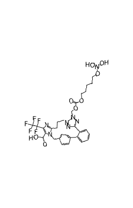 CCCc1nc(C(F)(F)C(F)(F)F)c(C(=O)O)n1Cc1ccc(-c2ccccc2-c2nnn(COC(=O)OCCCCCON(O)O)n2)cc1